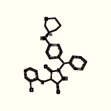 O=C1NN(C(c2ccccc2)c2ccc(N[C@@H]3CCCOC3)cc2)C(=O)C1Sc1ccccc1Cl